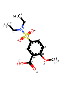 CCN(CC)S(=O)(=O)c1ccc(OC)c(C(=O)O)c1